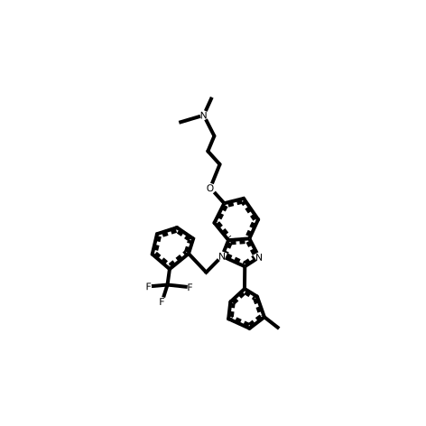 Cc1cccc(-c2nc3ccc(OCCCN(C)C)cc3n2Cc2ccccc2C(F)(F)F)c1